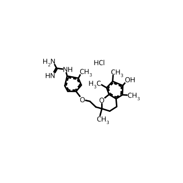 Cc1cc(OCCC2(C)CCc3c(C)c(O)c(C)c(C)c3O2)ccc1NC(=N)N.Cl